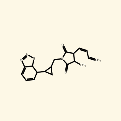 C=C/C=C\C1C(=O)N(CC2CC2C2C=CC=C3N=NSC32)C(=O)C1C